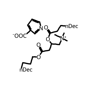 CCCCCCCCCCCCCOC(=O)CC(C[N+](C)(C)C)OC(=O)CCCCCCCCCCCC.O=C([O-])c1cccnc1